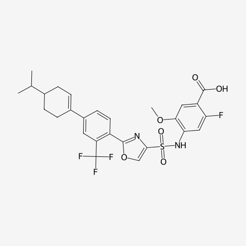 COc1cc(C(=O)O)c(F)cc1NS(=O)(=O)c1coc(-c2ccc(C3=CCC(C(C)C)CC3)cc2C(F)(F)F)n1